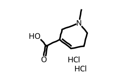 CN1CCC=C(C(=O)O)C1.Cl.Cl